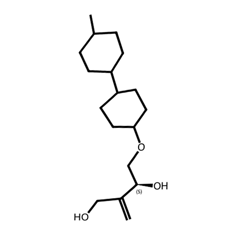 C=C(CO)[C@H](O)COC1CCC(C2CCC(C)CC2)CC1